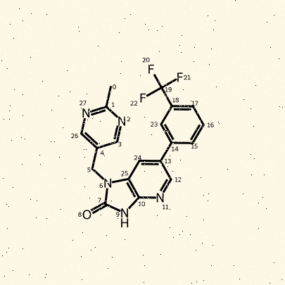 Cc1ncc(Cn2c(=O)[nH]c3ncc(-c4cccc(C(F)(F)F)c4)cc32)cn1